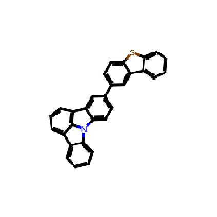 c1ccc2c(c1)sc1ccc(-c3ccc4c(c3)c3cccc5c6ccccc6n4c53)cc12